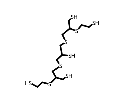 SCCSC(CS)CSCC(S)CSCC(CS)SCCS